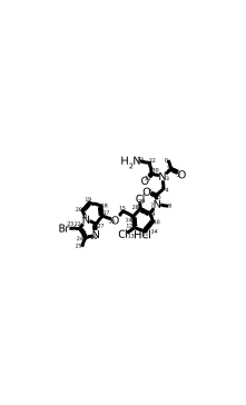 CC(=O)N(CC(=O)N(C)c1ccc(Cl)c(COc2cccn3c(Br)c(C)nc23)c1Cl)C(=O)CN.Cl